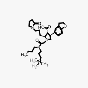 CCCCN(CCC[N+](C)(C)C)C(=O)CN1C[C@H](c2ccc3c(c2)CCO3)[C@@H](C(=O)O)[C@@H]1CCCN1CCCC1=O